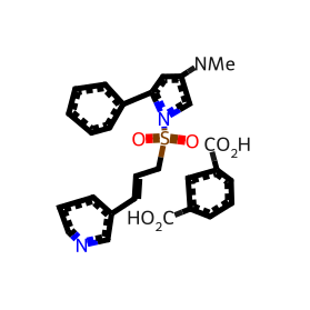 CNc1cc(-c2ccccc2)n(S(=O)(=O)CC=Cc2cccnc2)c1.O=C(O)c1cccc(C(=O)O)c1